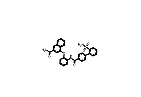 NC(=O)c1cc(Oc2ccccc2NC(=O)c2ccc(-c3ccccc3S(N)(=O)=O)cc2)c2ccccc2c1